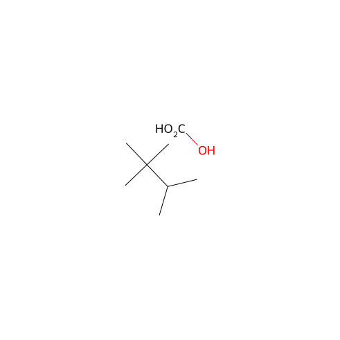 CC(C)C(C)(C)C.O=C(O)O